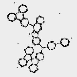 c1ccc(-c2ccc(N(c3ccc4c(c3)C3(c5ccccc5-c5ccccc53)c3ccccc3-4)c3ccc4oc5c(-c6ccc7c8ccccc8c8ccccc8c7c6)c6ccccc6cc5c4c3)cc2)cc1